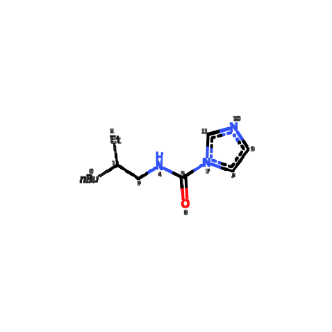 CCCCC(CC)CNC(=O)n1ccnc1